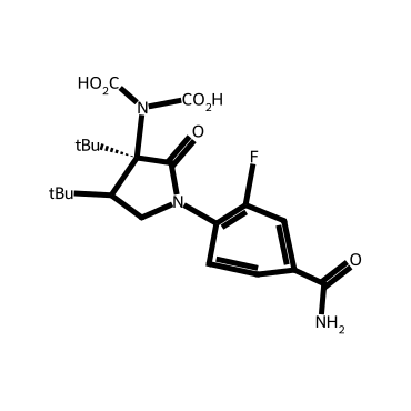 CC(C)(C)C1CN(c2ccc(C(N)=O)cc2F)C(=O)[C@@]1(N(C(=O)O)C(=O)O)C(C)(C)C